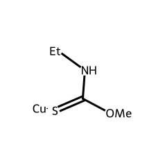 CCNC(=S)OC.[Cu]